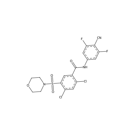 N#Cc1c(F)cc(NC(=O)c2cc(S(=O)(=O)N3CCOCC3)c(Cl)cc2Cl)cc1F